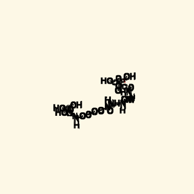 CN[C@@H](CCCCNC(=O)Cn1cc(CNC(=O)c2ccc3c(c2)C(=O)OC32c3ccc(O)cc3Oc3cc(O)ccc32)nn1)C(=O)NCCOCCOCCOCCOCc1cn(CCO[C@@H]2O[C@H](CO)C[C@H](O)[C@H]2O)[nH]1